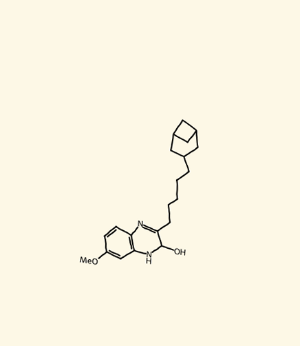 COc1ccc2c(c1)NC(O)C(CCCCCC1CC3CC(C1)C3)=N2